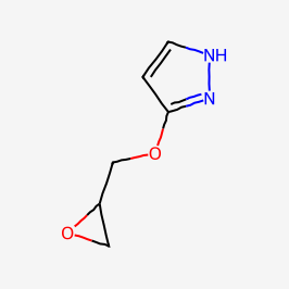 c1cc(OCC2CO2)n[nH]1